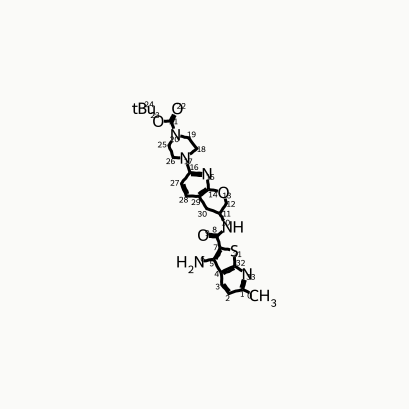 Cc1ccc2c(N)c(C(=O)NC3COc4nc(N5CCN(C(=O)OC(C)(C)C)CC5)ccc4C3)sc2n1